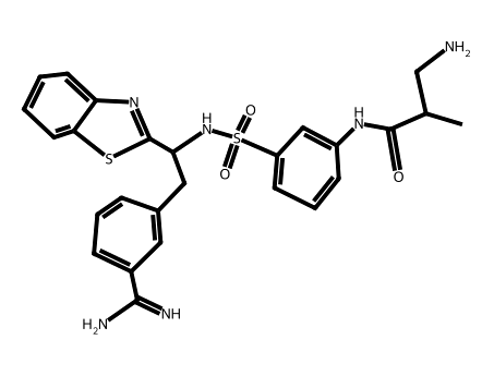 CC(CN)C(=O)Nc1cccc(S(=O)(=O)NC(Cc2cccc(C(=N)N)c2)c2nc3ccccc3s2)c1